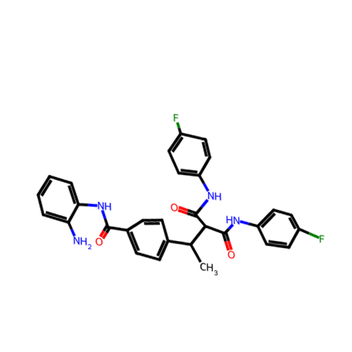 CC(c1ccc(C(=O)Nc2ccccc2N)cc1)C(C(=O)Nc1ccc(F)cc1)C(=O)Nc1ccc(F)cc1